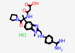 Cl.Cn1c(CNc2ccc(C(=N)N)cc2)nc2cc(C(C)(NC(=O)CC(=O)O)C(=O)N3CCCC3)ccc21